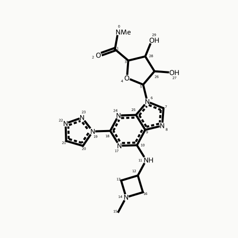 CNC(=O)C1OC(n2cnc3c(NC4CN(C)C4)nc(-n4ccnn4)nc32)C(O)C1O